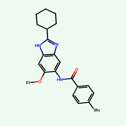 CCOc1cc2[nH]c(C3CCCCC3)nc2cc1NC(=O)c1ccc(C(C)(C)C)cc1